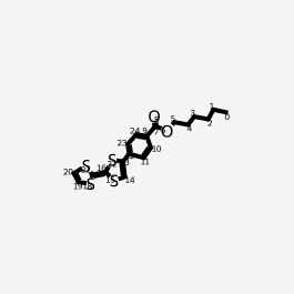 CCCCCCOC(=O)c1ccc(C2=CSC(=C3SC=CS3)S2)cc1